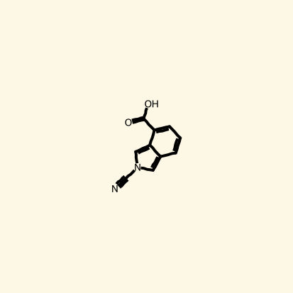 N#Cn1cc2cccc(C(=O)O)c2c1